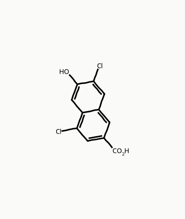 O=C(O)c1cc(Cl)c2cc(O)c(Cl)cc2c1